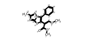 COC=C(C(=O)OC)c1sc2nc(C)nn2c1-c1ccccc1